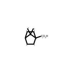 CC1(C)C2CCC1(C(=O)O)CC2